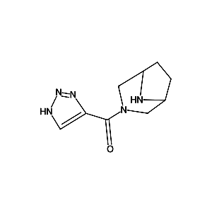 O=C(c1c[nH]nn1)N1CC2CCC(C1)N2